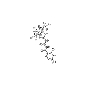 O=C(NC(=O)c1ccc(Cl)cc1Cl)NC1=NC(C(F)(F)F)(C(F)(F)F)C(=C(F)C(F)(F)F)S1